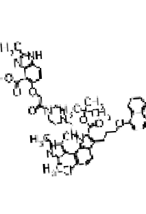 Cc1nc2c(C(=O)O)c(OCC(=O)N3CCN(CCn4c(C(=O)OC(C)(C)C)c(CCCOc5cccc6ccccc56)c5ccc(Cl)c(-c6c(C)nn(C)c6C)c54)CC3)ccc2[nH]1